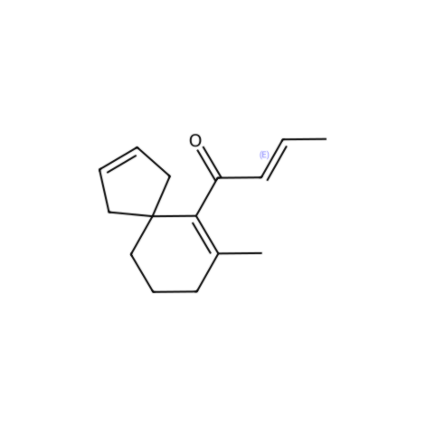 C/C=C/C(=O)C1=C(C)CCCC12CC=CC2